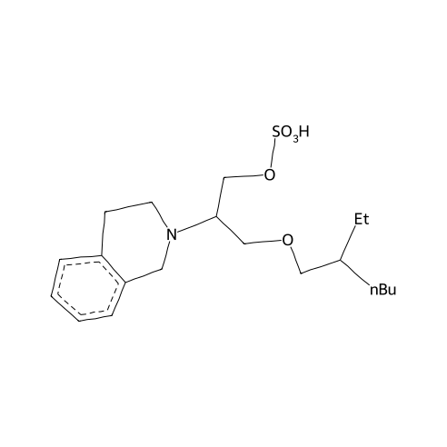 CCCCC(CC)COCC(COS(=O)(=O)O)N1CCc2ccccc2C1